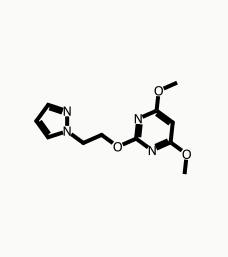 COc1cc(OC)nc(OCCn2cccn2)n1